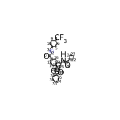 O=C(/C=C/c1ccc(C(F)(F)F)cc1)c1ccc2c(c1)c(NC(=O)C1CCC1)cn2S(=O)(=O)c1ccccc1